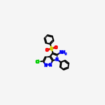 Nc1c(S(=O)(=O)c2ccccc2)c2cc(Cl)nnc2n1-c1ccccc1